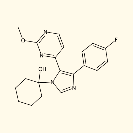 COc1nccc(-c2c(-c3ccc(F)cc3)ncn2C2(O)CCCCC2)n1